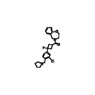 O=C(C1CC(F)(c2ccc(CN3CCCC3)c(Cl)c2)C1)N1CCOc2ccccc2C1